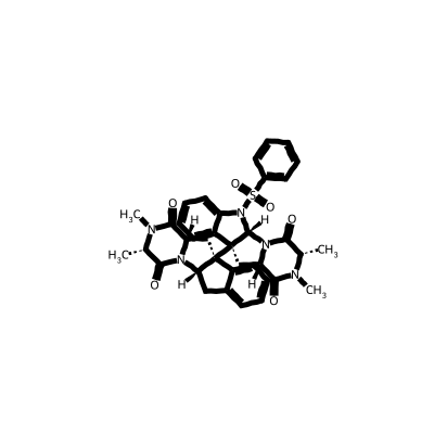 C[C@H]1C(=O)N2[C@H]3Cc4ccccc4[C@@]3([C@]34C[C@H]5C(=O)N(C)[C@@H](C)C(=O)N5[C@H]3N(S(=O)(=O)c3ccccc3)c3ccccc34)C[C@H]2C(=O)N1C